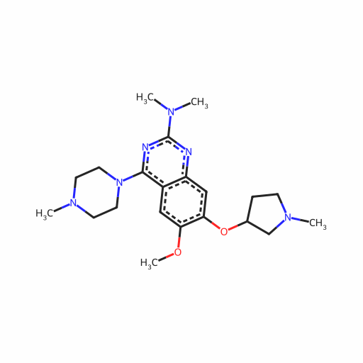 COc1cc2c(N3CCN(C)CC3)nc(N(C)C)nc2cc1OC1CCN(C)C1